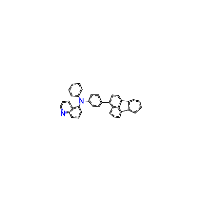 c1ccc(N(c2ccc(-c3ccc4c5c(cccc35)-c3ccccc3-4)cc2)c2cccc3ncccc23)cc1